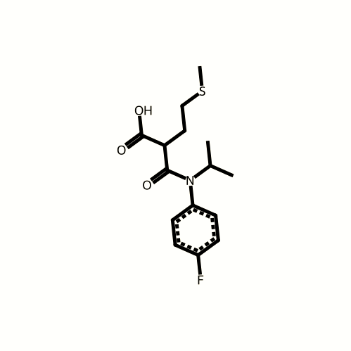 CSCCC(C(=O)O)C(=O)N(c1ccc(F)cc1)C(C)C